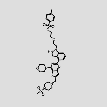 Cc1ccc(S(=O)(=O)OCCOCCN2NCc3c(-c4nc(N5CCOCC5)c5sc(CN6CCN(S(C)(=O)=O)CC6)cc5n4)cccc32)cc1